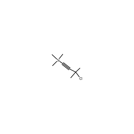 CC(C)(Cl)C#C[Si](C)(C)C